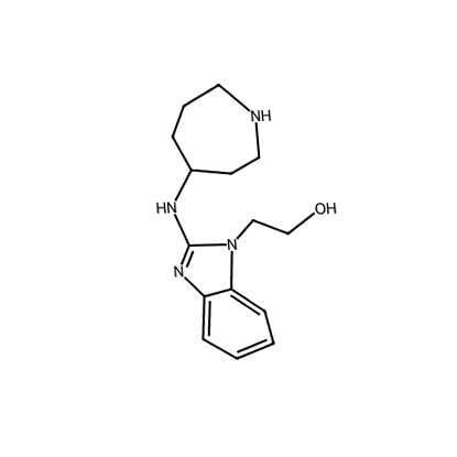 OCCn1c(NC2CCCNCC2)nc2ccccc21